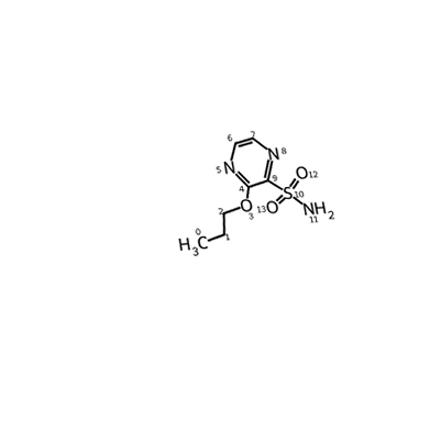 CCCOc1nccnc1S(N)(=O)=O